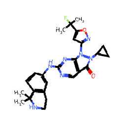 CC(C)(F)c1cc(-n2c3nc(Nc4ccc5c(c4)CCNC5(C)C)ncc3c(=O)n2C2CC2)no1